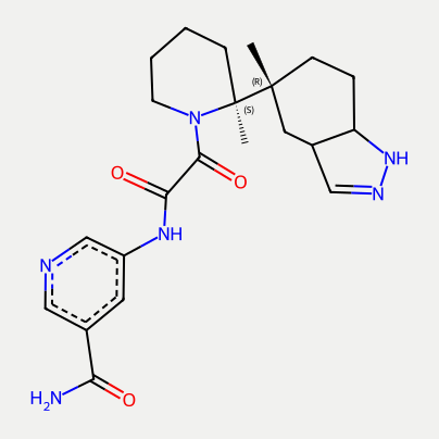 C[C@@]1([C@]2(C)CCCCN2C(=O)C(=O)Nc2cncc(C(N)=O)c2)CCC2NN=CC2C1